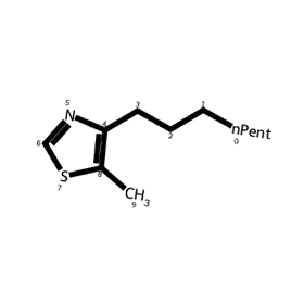 CCCCCCCCc1ncsc1C